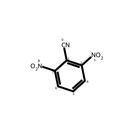 N#Cc1c([N+](=O)[O-])c[c]cc1[N+](=O)[O-]